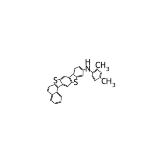 Cc1ccc(Nc2ccc3c(c2)sc2cc4c(cc23)sc2ccc3ccccc3c24)c(C)c1